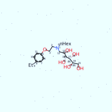 CCCCCCN(CCOc1ccc(CC)cc1)C[C@H](O)[C@@H](O)[C@H](O)[C@H](O)CO